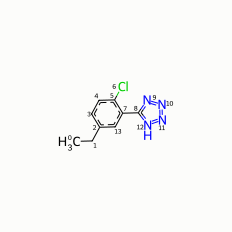 CCc1ccc(Cl)c(-c2nnn[nH]2)c1